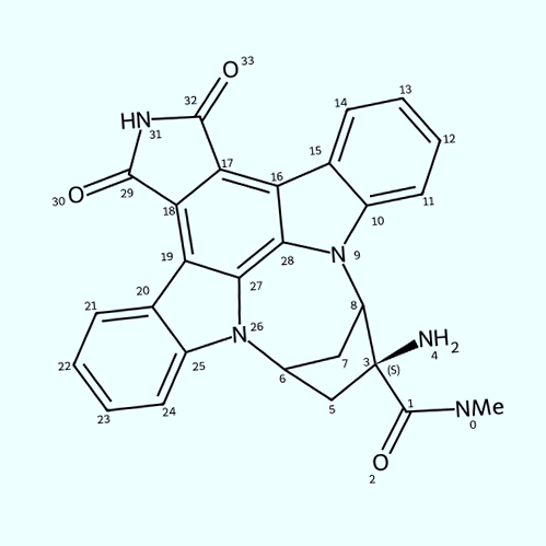 CNC(=O)[C@]1(N)CC2CC1n1c3ccccc3c3c4c(c5c6ccccc6n2c5c31)C(=O)NC4=O